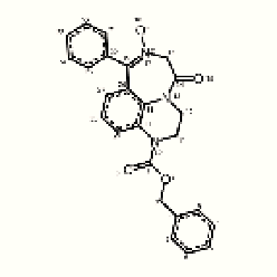 O=C(OCc1ccccc1)N1CCN2C(=O)C[N+]([O-])=C(c3ccccc3)c3cccc1c32